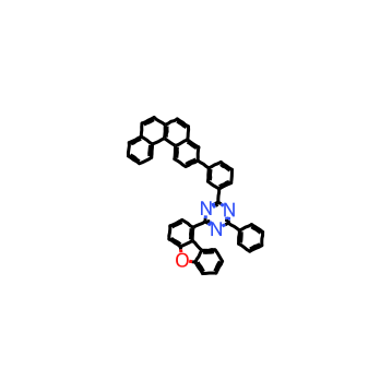 c1ccc(-c2nc(-c3cccc(-c4ccc5c(ccc6ccc7ccccc7c65)c4)c3)nc(-c3cccc4oc5ccccc5c34)n2)cc1